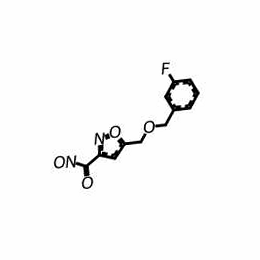 O=NC(=O)c1cc(COCc2cccc(F)c2)on1